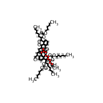 CCCCCCOC(=O)OC(CCCCCC)C(=O)c1cccc(C(=O)OOC(=O)c2cccc(C(=O)C(CCCCCC)OC(=O)OCCCCCC)c2C(=O)C(CCCCCC)OC(=O)OCCCCCC)c1C(=O)C(CCCCCC)OC(=O)OCCCCCC